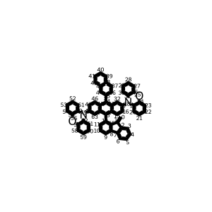 C=C1c2ccccc2-c2cccc(-c3c4ccc(N5c6ccccc6Oc6ccccc65)cc4c(-c4ccc5ccccc5c4)c4ccc(N5c6ccccc6Oc6ccccc65)cc34)c21